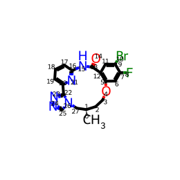 C[C@H]1CCOc2cc(F)c(Br)cc2C(=O)Nc2cccc(n2)-c2nncn2C1